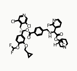 O=C(O[C@@H](Cc1c(Cl)cncc1Cl)c1ccc(OC(F)F)c(OCC2CC2)c1)c1ccc(CNC(C(=O)O[C@H]2CN3CCC2CC3)c2cccnc2F)cc1